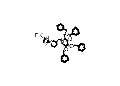 FC(F)(F)c1csc(N2CCC[C@H](CN3C[C@H](OCc4ccccc4)[C@@H](OCc4ccccc4)[C@H](OCc4ccccc4)[C@@H]3COCc3ccccc3)C2)n1